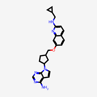 Nc1ncnc2c1ccn2C1CCC(COc2ccc3ccc(NCC4CC4)nc3c2)C1